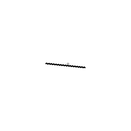 CCCCCCCCCCCCCCCCCCCC(=O)CCCCCCCCCCCCCCC